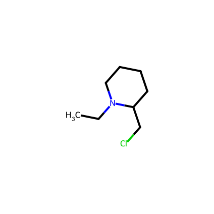 CCN1CCCCC1CCl